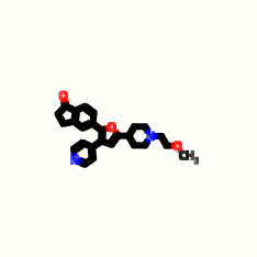 COCCN1CCC(c2cc(-c3ccncc3)c(-c3ccc4c(c3)CCC4=O)o2)CC1